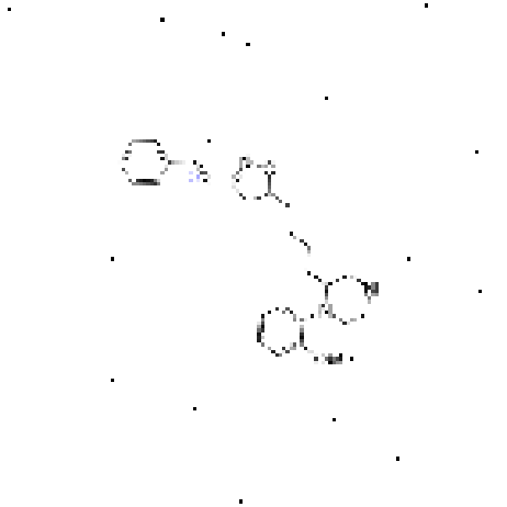 COc1ccccc1N1CCNCC1CCCCC1CC(/C=C/c2ccccc2)=NO1